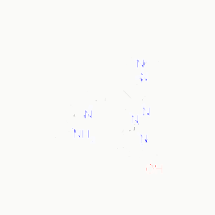 CC[C@H](N)c1cccc(-c2cc(-c3cc(C)n(C)n3)c3cnn(-c4cccc(CO)n4)c3c2)n1